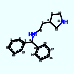 c1ccc(C(NCCC2CCNC2)c2ccccc2)cc1